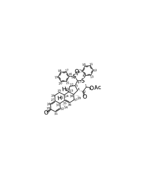 CC(=O)OCC(=O)[C@H]1C(C(Sc2ccccc2)[S+]([O-])c2ccccc2)C[C@H]2[C@@H]3CCC4=CC(=O)C=C[C@]4(C)C3=CC[C@]12C